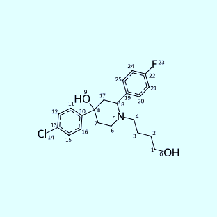 OCCCCN1CCC(O)(c2ccc(Cl)cc2)CC1c1ccc(F)cc1